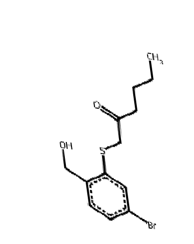 CCCCC(=O)CSc1cc(Br)ccc1CO